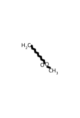 C=CCCCCCCCCC(=O)OCCC